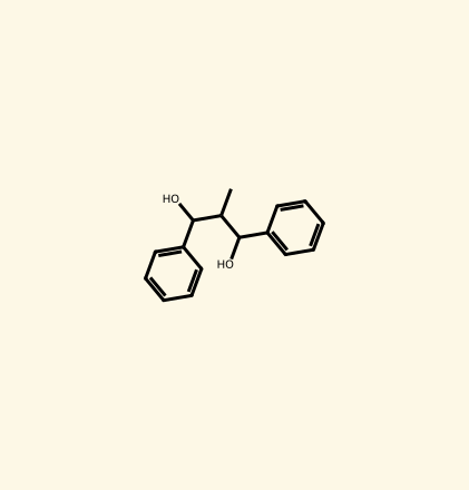 CC(C(O)c1ccccc1)C(O)c1ccccc1